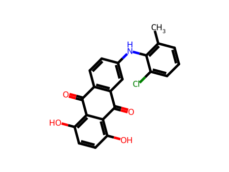 Cc1cccc(Cl)c1Nc1ccc2c(c1)C(=O)c1c(O)ccc(O)c1C2=O